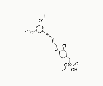 CCOc1cc(C#CC=CCOc2ccc(C[C@H](OCC)C(=O)O)cc2Cl)cc(OCC)c1